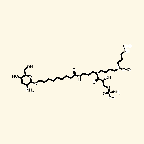 NC1CC(O)C(CO)OC1OCCCCCCCCC(=O)NCCCN(CCCCN(C=O)CCCNC=O)C(=O)C(O)COP(N)(=O)O